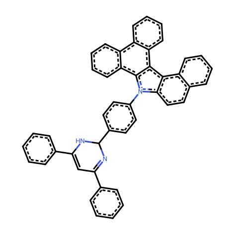 C1=C(c2ccccc2)NC(c2ccc(-n3c4ccc5ccccc5c4c4c5ccccc5c5ccccc5c43)cc2)N=C1c1ccccc1